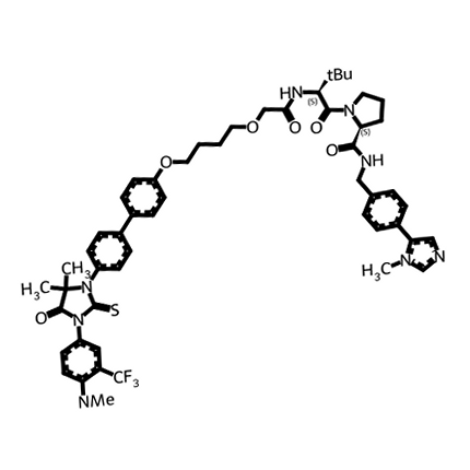 CNc1ccc(N2C(=O)C(C)(C)N(c3ccc(-c4ccc(OCCCCOCC(=O)N[C@H](C(=O)N5CCC[C@H]5C(=O)NCc5ccc(-c6cncn6C)cc5)C(C)(C)C)cc4)cc3)C2=S)cc1C(F)(F)F